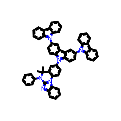 CC1(C)c2cc(-n3c4ccc(-n5c6ccccc6c6ccccc65)cc4c4cc(-n5c6ccccc6c6ccccc65)ccc43)ccc2-n2c(nc3ccccc32)N1c1ccccc1